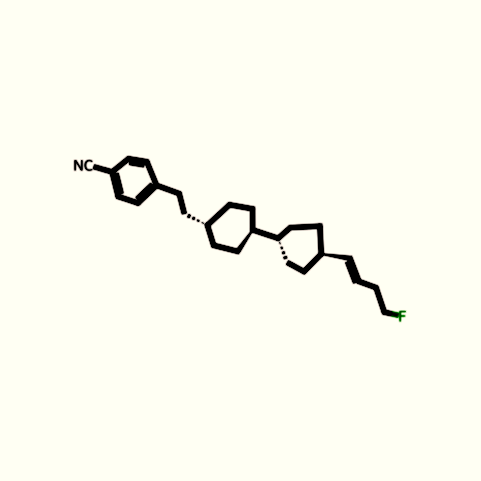 N#Cc1ccc(CC[C@H]2CC[C@H]([C@H]3CC[C@H](C=CCCF)CC3)CC2)cc1